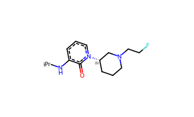 CC(C)Nc1cccn([C@H]2CCCN(CCF)C2)c1=O